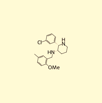 COc1ccc(C)cc1CN[C@H]1CCCN[C@H]1c1cccc(Cl)c1